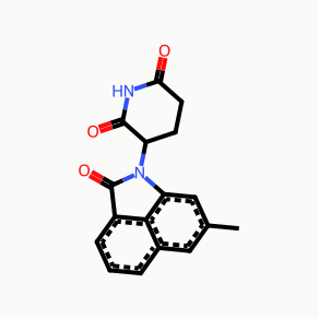 Cc1cc2c3c(cccc3c1)C(=O)N2C1CCC(=O)NC1=O